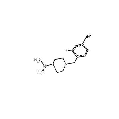 CC(C)c1ccc(CN2CCC(N(C)C)CC2)c(F)c1